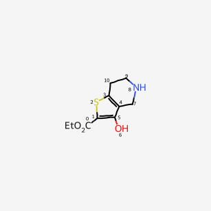 CCOC(=O)c1sc2c(c1O)CNCC2